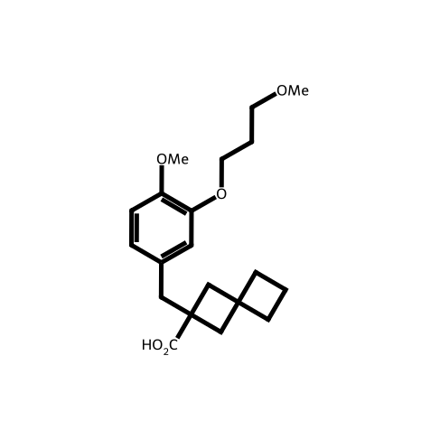 COCCCOc1cc(CC2(C(=O)O)CC3(CCC3)C2)ccc1OC